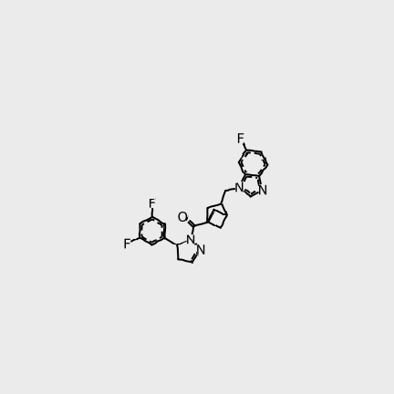 O=C(N1N=CCC1c1cc(F)cc(F)c1)C12CC(Cn3cnc4ccc(F)cc43)C(C1)C2